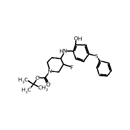 CC(C)(C)OC(=O)N1CCC(Nc2ccc(Sc3ccccc3)cc2O)C(F)C1